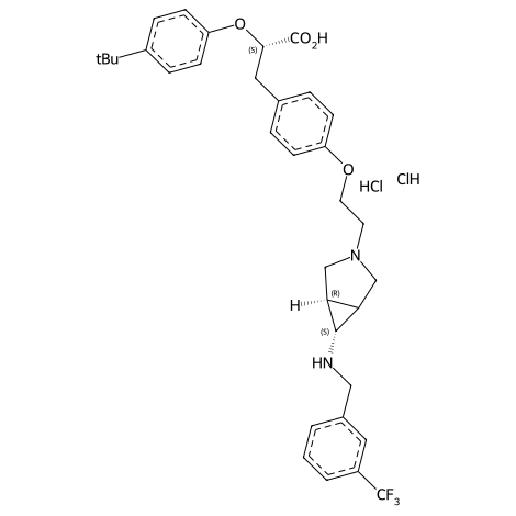 CC(C)(C)c1ccc(O[C@@H](Cc2ccc(OCCN3CC4[C@H](C3)[C@H]4NCc3cccc(C(F)(F)F)c3)cc2)C(=O)O)cc1.Cl.Cl